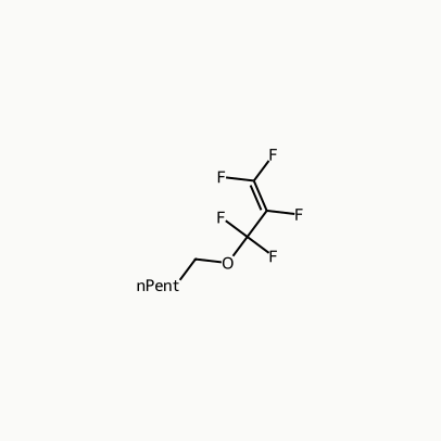 CCCCCCOC(F)(F)C(F)=C(F)F